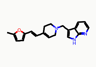 Cc1ccc(/C=C/C2=CCN(Cc3c[nH]c4ncccc34)CC2)o1